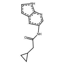 O=C(CC1CC1)Nc1[c]c2cc[nH]c2nc1